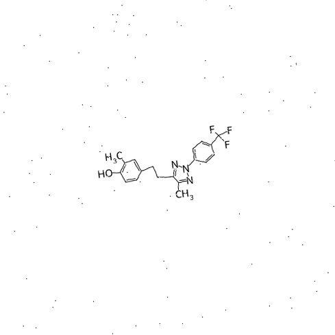 Cc1cc(CCc2nn(-c3ccc(C(F)(F)F)cc3)nc2C)ccc1O